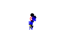 O=c1n(C2CC(n3cc(-c4ccns4)cn3)C2)nc2n1[C@H](c1ccccc1)CC2